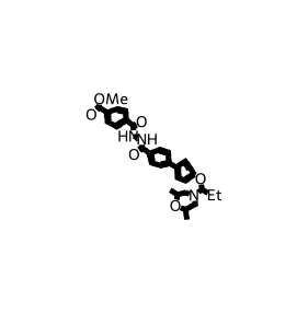 CCC(Oc1ccc(-c2ccc(C(=O)NNC(=O)c3ccc(C(=O)OC)cc3)cc2)cc1)N1CC(C)OC(C)C1